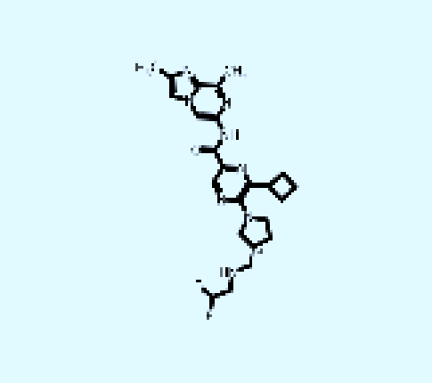 Cc1cn2cc(NC(=O)c3cnc(N4CC[C@@H](CNCC(F)F)C4)c(C4CCC4)n3)nc(C)c2n1